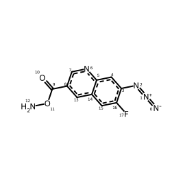 [N-]=[N+]=Nc1cc2ncc(C(=O)ON)cc2cc1F